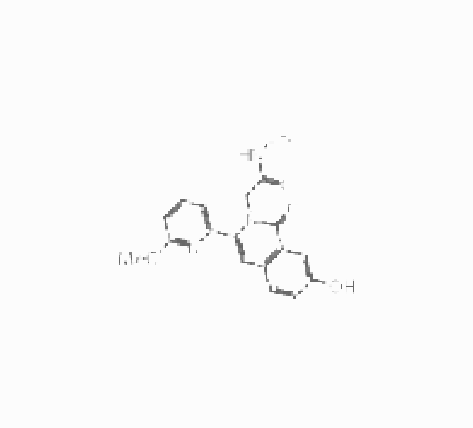 COc1cccc(-c2cc3ccc(O)cc3c(=O)n2CC(=O)NC(C)(C)C)n1